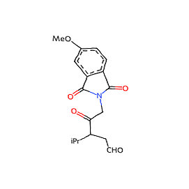 COc1ccc2c(c1)C(=O)N(CC(=O)C(CC=O)C(C)C)C2=O